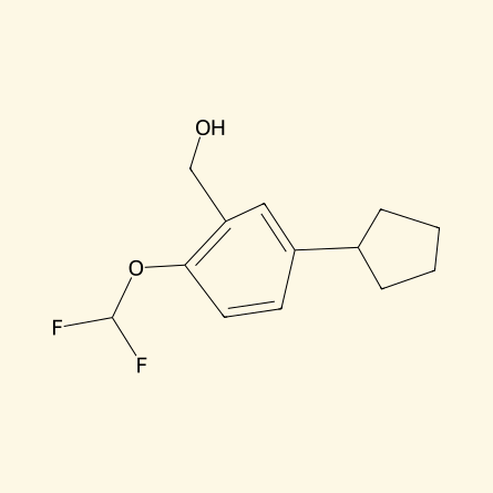 OCc1cc(C2CCCC2)ccc1OC(F)F